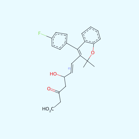 CC1(C)Oc2ccccc2C(c2ccc(F)cc2)=C1/C=C/C(O)CC(=O)CC(=O)O